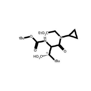 CCOC(=O)CN(C(=O)C(NC(=O)OC(C)(C)C)[C@@H](C(=O)O)C(C)(C)C)C1CC1